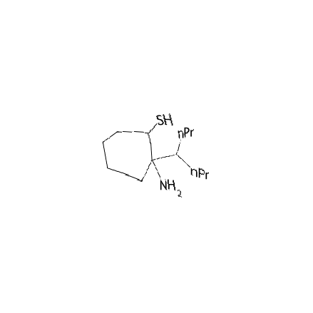 CCCC(CCC)C1(N)CCCCC1S